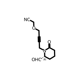 N#CCOCC#CCN1C(=O)CCC[C@@H]1C=O